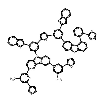 Cc1cc(-c2ccc3c(c2)c2cc(-c4cc(C)cc(-c5ccoc5)n4)ccc2n3-c2cc(-c3ccc(-c4cc(-c5ccc6sc7cccc(-c8ccccc8-c8nncs8)c7c6c5)cc(-c5cc6ccccc6s5)c4)s3)cc(-c3cc4ccccc4s3)c2)cc(-c2ccco2)c1